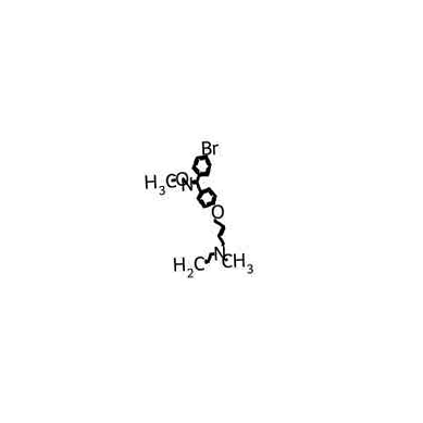 C=CCN(C)CC=CCOc1ccc(C(=NOC)c2ccc(Br)cc2)cc1